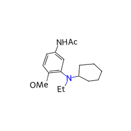 CCN(c1cc(NC(C)=O)ccc1OC)C1CCCCC1